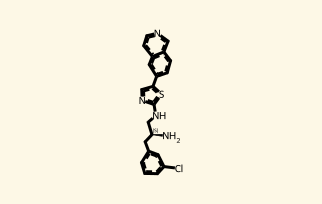 N[C@H](CNc1ncc(-c2ccc3cnccc3c2)s1)Cc1cccc(Cl)c1